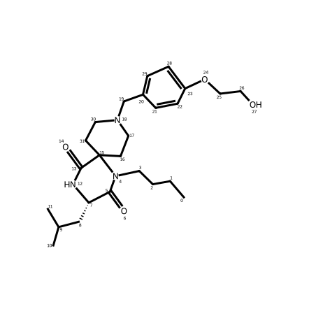 CCCCN1C(=O)[C@H](CC(C)C)NC(=O)C12CCN(Cc1ccc(OCCO)cc1)CC2